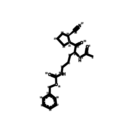 CC(=O)N[C@@H](CCCNC(=O)OCc1ccccc1)C(=O)N1CCC[C@H]1C#N